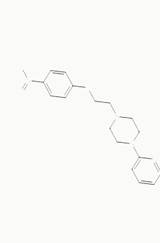 O=[N+]([O-])c1ccc(SCCN2CCN(c3ccccn3)CC2)cc1